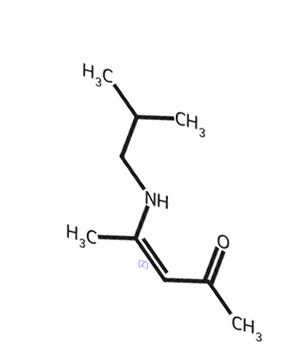 CC(=O)/C=C(/C)NCC(C)C